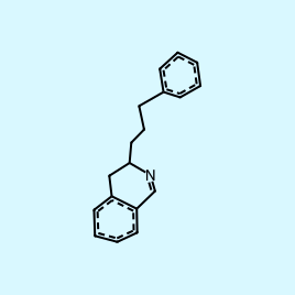 C1=NC(CCCc2ccccc2)Cc2ccccc21